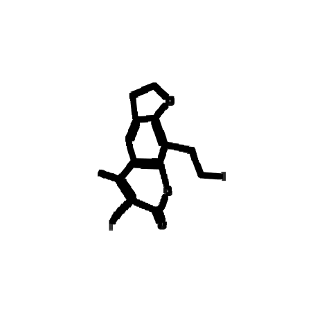 Cc1c(I)c(=O)oc2c(CCI)c3c(cc12)CCO3